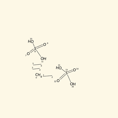 C.CC.CC.CC.O=S(=O)(O)O.O=S(=O)(O)O